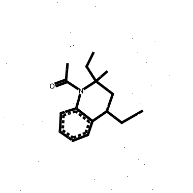 CCC1CC(C)(CC)N(C(C)=O)c2ccccc21